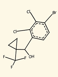 OC(c1ccc(Br)c(Cl)c1Cl)C1(C(F)(F)F)CC1